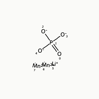 O=P([O-])([O-])[O-].[Li+].[Mn+2].[Mn+2]